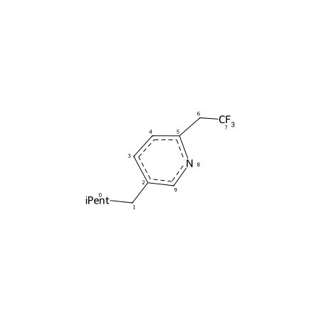 CCCC(C)Cc1ccc(CC(F)(F)F)nc1